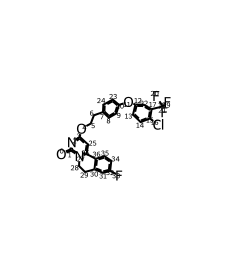 O=c1nc(OCCc2ccc(Oc3ccc(Cl)c(C(F)(F)F)c3)cc2)cc2n1CCc1cc(F)ccc1-2